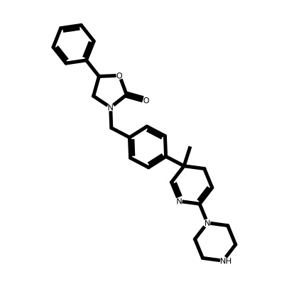 CC1(c2ccc(CN3CC(c4ccccc4)OC3=O)cc2)C=NC(N2CCNCC2)=CC1